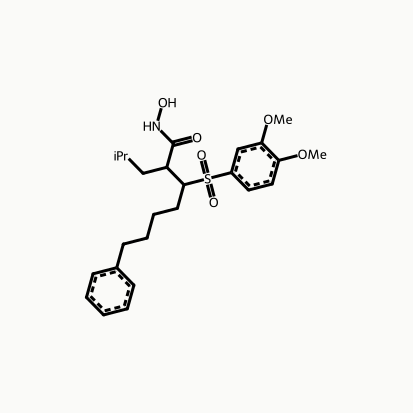 COc1ccc(S(=O)(=O)C(CCCCc2ccccc2)C(CC(C)C)C(=O)NO)cc1OC